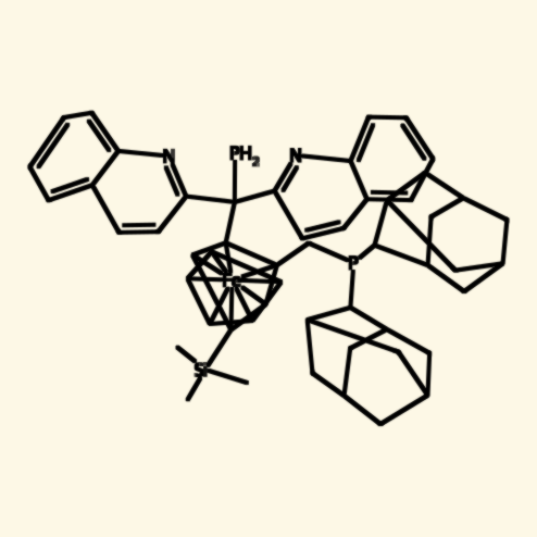 C[Si](C)(C)[C]12[CH]3[C]4(CP(C5C6CC7CC(C6)CC5C7)C5C6CC7CC(C6)CC5C7)[C]5(C(P)(c6ccc7ccccc7n6)c6ccc7ccccc7n6)[CH]1[Fe]34521678[CH]2[CH]1[CH]6[CH]7[CH]28